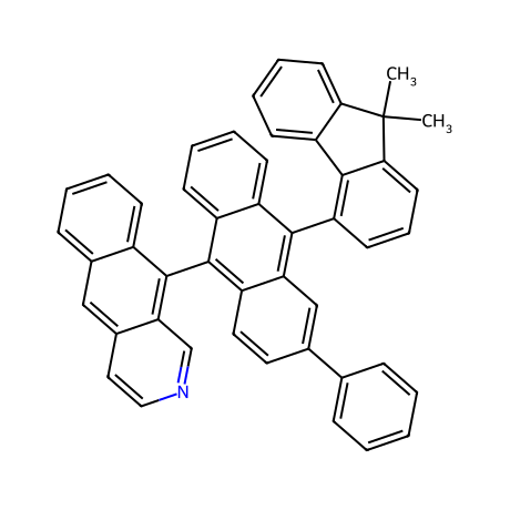 CC1(C)c2ccccc2-c2c(-c3c4ccccc4c(-c4c5ccccc5cc5ccncc45)c4ccc(-c5ccccc5)cc34)cccc21